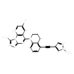 Cc1nnc2nc(N3CCCc4c(C#Cc5cnn(C)c5)cccc43)c3cc(F)cnc3n12